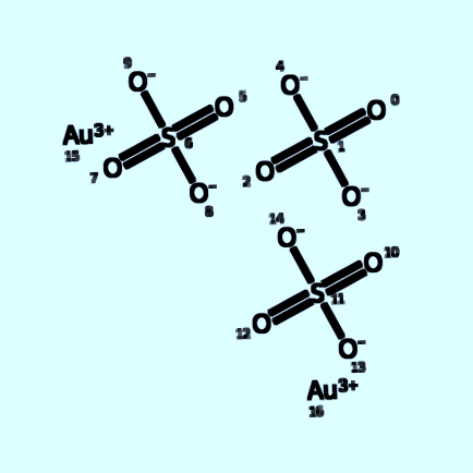 O=S(=O)([O-])[O-].O=S(=O)([O-])[O-].O=S(=O)([O-])[O-].[Au+3].[Au+3]